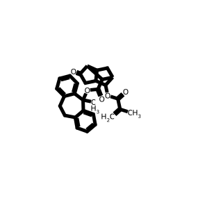 C=C(C)C(=O)OC1C2CC(=O)C3C2CC1C3C(=O)OC1(C)c2ccccc2CCc2ccccc21